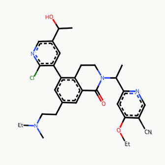 CCOc1cc(C(C)N2CCc3c(cc(CCN(C)CC)cc3-c3cc(C(C)O)cnc3Cl)C2=O)ncc1C#N